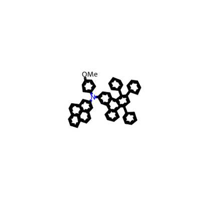 COc1ccc(N(c2cc3ccc4cccc5ccc(c2)c3c45)c2ccc3c(c2)c2ccccc2c2c(-c4ccccc4)cc(-c4ccccc4)c(-c4ccccc4)c32)cc1